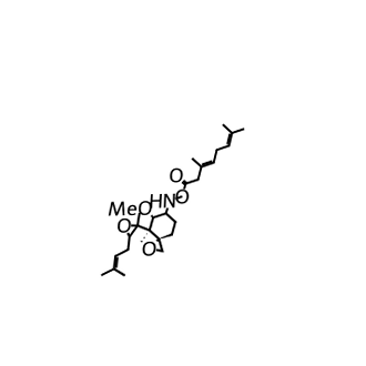 CO[C@@H]1C(NOC(=O)C/C(C)=C/CC=C(C)C)CC[C@]2(CO2)[C@@]1(C)C1(C)OC1CC=C(C)C